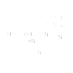 C[C@@]1(O)CCCC1Nc1nccc2cnc(S(C)(=O)=O)nc12